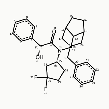 O=C([C@H](O)c1ccccc1)N(CC1C2CCC1CN(Cc1ccccc1)C2)[C@@H]1CCC(F)(F)C1